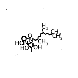 CC(C)=CCCC(C)=CCCC(C)=CCN1C(=O)c2cccc(O)c2Nc2c1cc(O)c(I)c2O